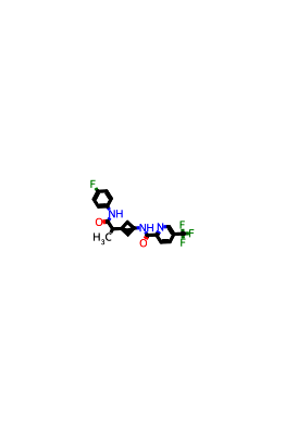 CC(C(=O)Nc1ccc(F)cc1)C12CC(NC(=O)c3ccc(C(F)(F)F)cn3)(C1)C2